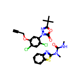 C#CCOc1cc(-n2nc(C(C)(C)C)oc2=O)c(Cl)cc1Cl.CNC(=O)N(C)c1nc2ccccc2s1